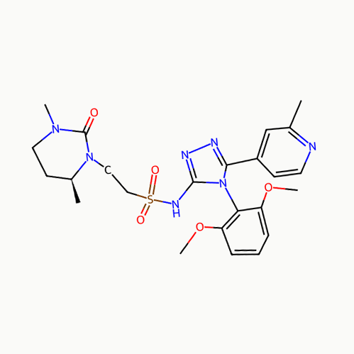 COc1cccc(OC)c1-n1c(NS(=O)(=O)CCN2C(=O)N(C)CC[C@@H]2C)nnc1-c1ccnc(C)c1